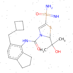 CC(C)(O)C1SC(S(=N)(N)=O)=CN1C(=O)Nc1c(CC2CCC2)ccc2c1CCC2